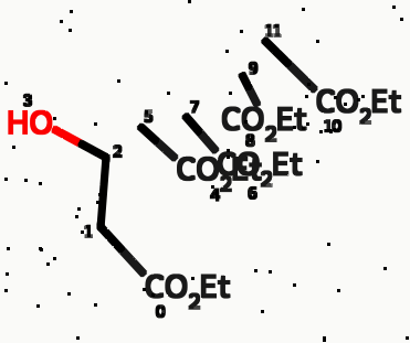 CCOC(=O)CCO.CCOC(C)=O.CCOC(C)=O.CCOC(C)=O.CCOC(C)=O